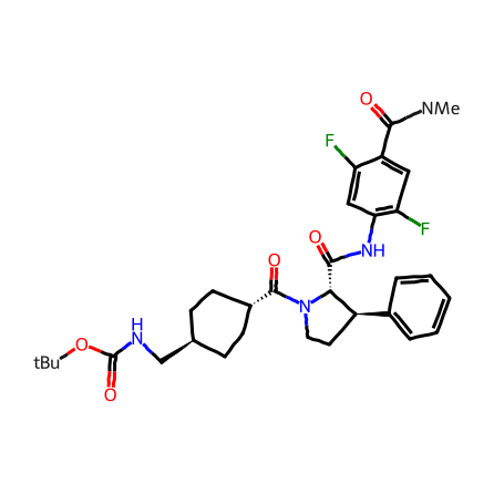 CNC(=O)c1cc(F)c(NC(=O)[C@@H]2[C@@H](c3ccccc3)CCN2C(=O)[C@H]2CC[C@H](CNC(=O)OC(C)(C)C)CC2)cc1F